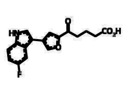 O=C(O)CCCC(=O)c1cc(-c2c[nH]c3ccc(F)cc23)co1